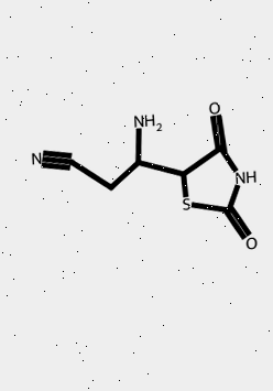 N#CCC(N)C1SC(=O)NC1=O